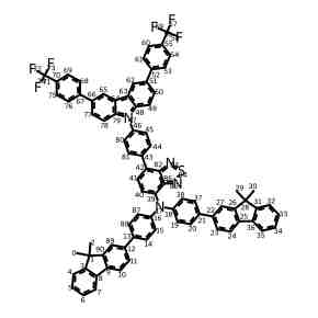 CC1(C)c2ccccc2-c2ccc(-c3ccc(N(c4ccc(-c5ccc6c(c5)C(C)(C)c5ccccc5-6)cc4)c4ccc(-c5ccc(-n6c7ccc(-c8ccc(C(F)(F)F)cc8)cc7c7cc(-c8ccc(C(F)(F)F)cc8)ccc76)cc5)c5nsnc45)cc3)cc21